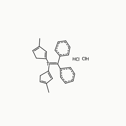 CC1=CC[C]([Ti]([C]2=CC(C)=CC2)=[C](c2ccccc2)c2ccccc2)=C1.Cl.Cl